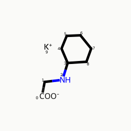 O=C([O-])CNC1CCCCC1.[K+]